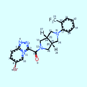 O=C(c1nnc2ccc(Br)cn12)N1C[C@@H]2CN(c3ccccc3C(F)(F)F)C[C@@H]2C1